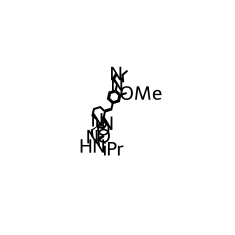 COc1cc(/C=C2\CCCN3C2=NO[C@H]3CN(C)C(=O)NC(C)C)ccc1N1C=NC(C)C1